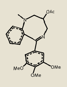 COc1cc(C2=NCC(OC(C)=O)CN(C)c3ccccc32)cc(OC)c1OC